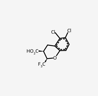 O=C(O)[C@H]1Cc2c(ccc(Cl)c2Cl)O[C@H]1C(F)(F)F